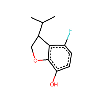 CC(C)C1COc2c(O)ccc(F)c21